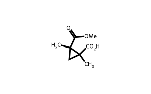 COC(=O)C1(C)CC1(C)C(=O)O